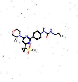 CCCNC(=O)Nc1ccc(-c2nc(N3CCOC[C@@H]3C)cc(C3(S(C)(=O)=O)CC3)n2)cc1